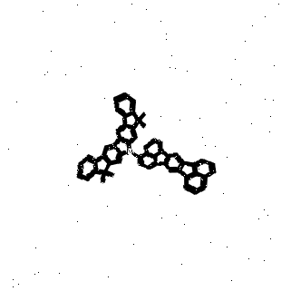 CC1(C)c2ccccc2-c2cc3c4cc5c(cc4n(-c4ccc6c7cc8c(cc7c7cccc4c76)c4cccc6cccc8c64)c3cc21)C(C)(C)c1ccccc1-5